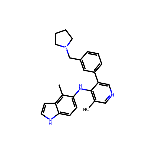 Cc1c(Nc2c(C#N)cncc2-c2cccc(CN3CCCC3)c2)ccc2[nH]ccc12